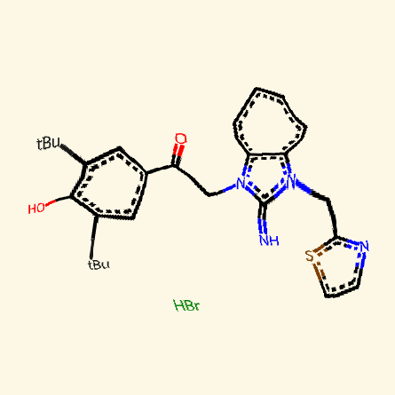 Br.CC(C)(C)c1cc(C(=O)Cn2c(=N)n(Cc3nccs3)c3ccccc32)cc(C(C)(C)C)c1O